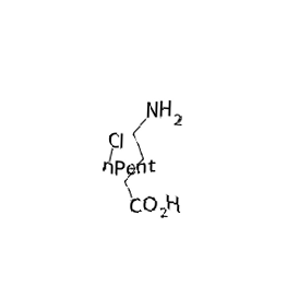 CCCCCCl.NCCCC(=O)O